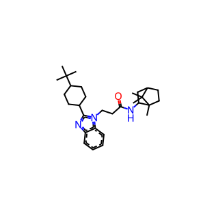 CC(C)(C)C1CCC(c2nc3ccccc3n2CCC(=O)NC2CC3CCC2(C)C3(C)C)CC1